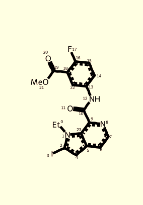 CCn1c(I)cc2ccnc(C(=O)Nc3ccc(F)c(C(=O)OC)c3)c21